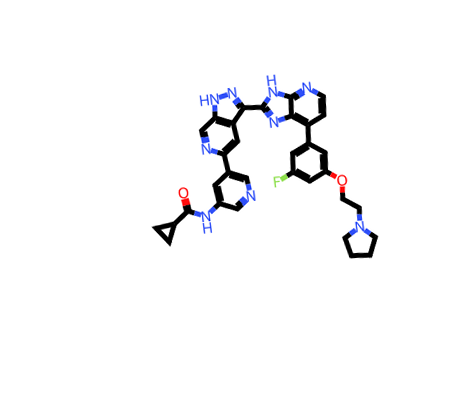 O=C(Nc1cncc(-c2cc3c(-c4nc5c(-c6cc(F)cc(OCCN7CCCC7)c6)ccnc5[nH]4)n[nH]c3cn2)c1)C1CC1